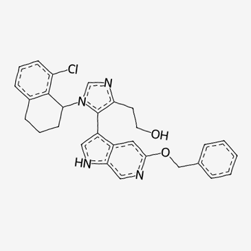 OCCc1ncn(C2CCCc3cccc(Cl)c32)c1-c1c[nH]c2cnc(OCc3ccccc3)cc12